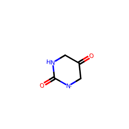 O=C1C[N]C(=O)NC1